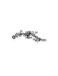 C/C(=C\N(N)CCO)COCCOCCO[C@@](O)(CC[C@H](C[C@H](O)CCNC(=O)CC1CC=C(c2ccccc2)CC1)NC(=O)CO)C(=O)O